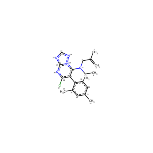 C=C(C)CN(CC)c1c(-c2c(C)cc(C)cc2C)c(Cl)nc2ncnn12